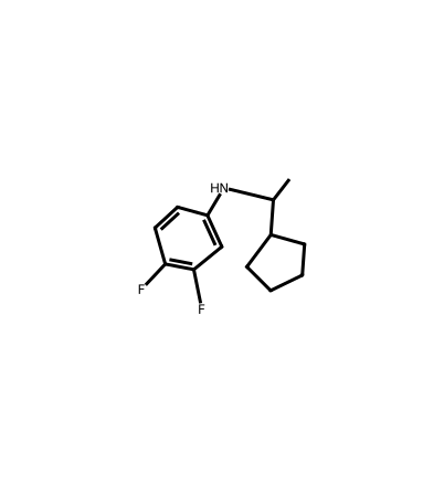 CC(Nc1ccc(F)c(F)c1)C1CCCC1